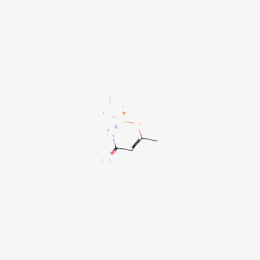 CC1=CC(=O)N=S(=O)([O-])O1.[K+]